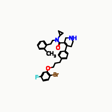 Cc1ccccc1CCN(C(=O)C1=C(c2ccc(CCCOc3cc(F)ccc3Br)cc2)CCNC1)C1CC1